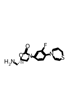 NC[C@H]1CN(c2ccc(N3C=CCSC=C3)c(F)c2)C(=O)O1